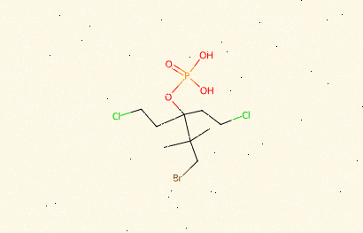 CC(C)(CBr)C(CCCl)(CCCl)OP(=O)(O)O